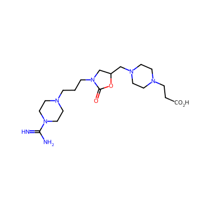 N=C(N)N1CCN(CCCN2CC(CN3CCN(CCC(=O)O)CC3)OC2=O)CC1